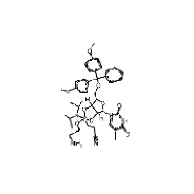 COc1ccc(C(OC[C@H]2O[C@@H](n3cc(C)c(=O)[nH]c3=O)[C@@H]3OP(CCC#N)(OCCN)(N(C(C)C)C(C)C)O[C@@H]32)(c2ccccc2)c2ccc(OC)cc2)cc1